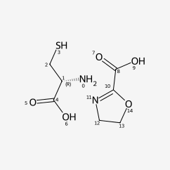 N[C@@H](CS)C(=O)O.O=C(O)C1=NCCO1